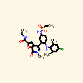 C=CS(=O)(=O)Nc1ccc(Nc2c(C)cc(F)cc2C)c(-c2cn(C)c(=O)c3oc(C(=O)NCC)cc23)c1